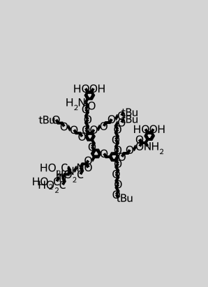 CC(C)(C)OCCOCCOCCOc1cc(COc2cc(COC(=O)CN(CCN(CCN(CC(=O)O)CC(=O)O)CC(=O)O)CC(=O)O)cc(OCc3cc(OCCOCCOCCOC(C)(C)C)c(OCCOCCOC(=O)C(N)c4ccc(O)c(O)c4)c(OCCOCCOCCOC(C)(C)C)c3)c2)cc(OCCOCCOCCOC(C)(C)C)c1OCCOCCOC(=O)C(N)c1ccc(O)c(O)c1